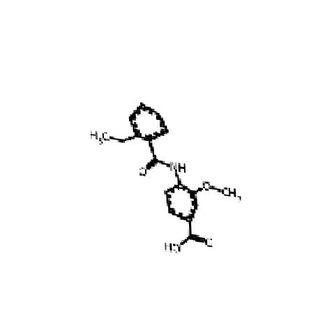 CCc1ccccc1C(=O)Nc1ccc(C(=O)O)cc1OC